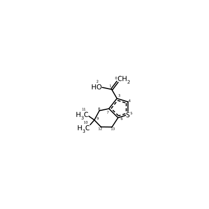 C=C(O)c1csc2c1CC(C)(C)CC2